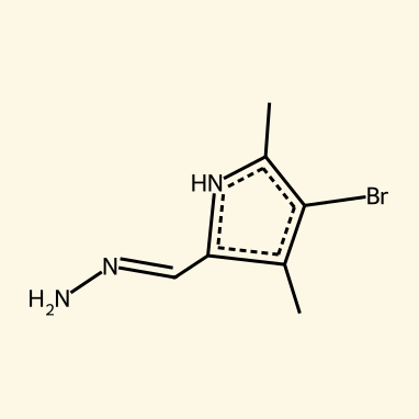 Cc1[nH]c(C=NN)c(C)c1Br